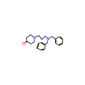 O=C1CCN(CCCN(Cc2ccccc2)Cc2ccccc2)CC1